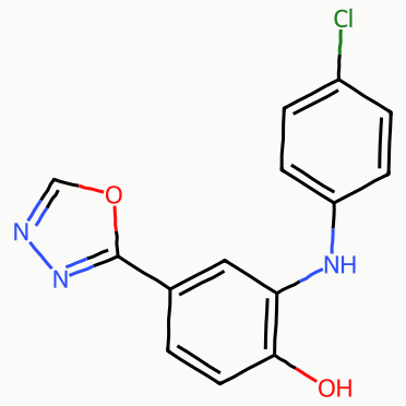 Oc1ccc(-c2nnco2)cc1Nc1ccc(Cl)cc1